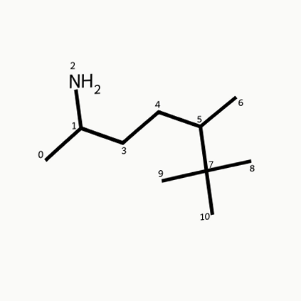 CC(N)CCC(C)C(C)(C)C